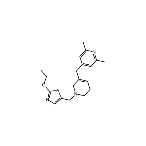 CCOc1ncc(CN2CCC=C(Cc3cc(C)nc(C)c3)C2)s1